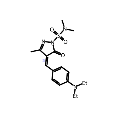 CCN(CC)c1ccc(/C=C2\C(=O)N(S(=O)(=O)N(C)C)N=C2C)cc1